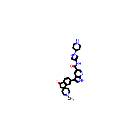 CN1CCC2(CC1)CC(=O)c1ccc(-c3c[nH]c4ncc(C(=O)Nc5cnn(C6CCNCC6)c5)cc34)cc12